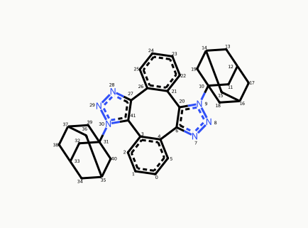 c1ccc2c(c1)-c1nnn(C34CC5CC(CC(C5)C3)C4)c1-c1ccccc1-c1nnn(C34CC5CC(CC(C5)C3)C4)c1-2